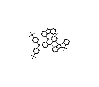 Cc1cc2c3c(c1)-n1c4c(c5cccc(c51)B3c1ccc(N(c3ccc(C(C)(C)C)cc3)c3ccc(C(C)(C)C)cc3)cc1N2c1cccc2sc3ccccc3c12)C(C)(C)c1ccccc1-4